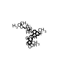 Cc1c(F)cc2nc3c(c4c2c1CC[C@@H]4NC(=O)C[S+]([O-])CCOC(C)C)Cn1c-3cc2c(c1=O)COC(=O)[C@@]2(C)O